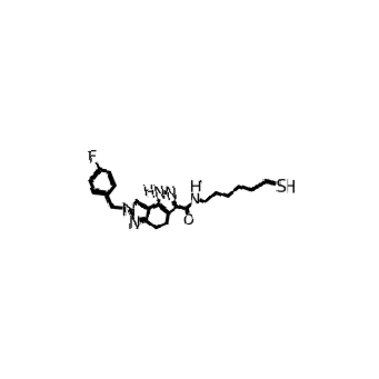 O=C(NCCCCCCS)c1n[nH]c2c1CCc1nn(Cc3ccc(F)cc3)cc1-2